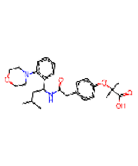 CC(C)CC(NC(=O)Cc1ccc(OC(C)(C)C(=O)O)cc1)c1ccccc1N1CCOCC1